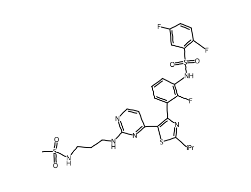 CC(C)c1nc(-c2cccc(NS(=O)(=O)c3cc(F)ccc3F)c2F)c(-c2ccnc(NCCCNS(C)(=O)=O)n2)s1